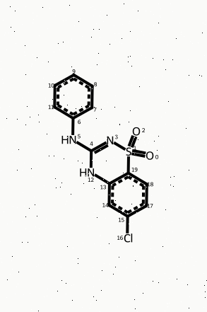 O=S1(=O)N=C(Nc2ccccc2)Nc2cc(Cl)ccc21